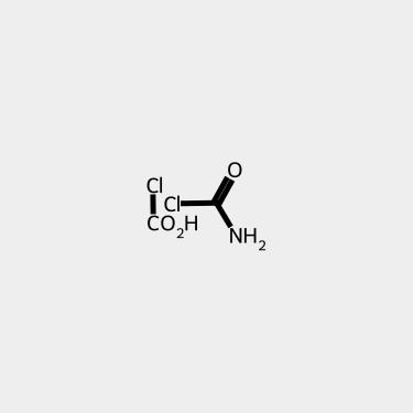 NC(=O)Cl.O=C(O)Cl